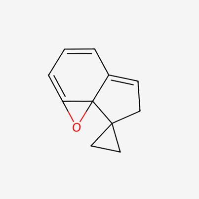 C1=CC2=CCC3(CC3)C23OC3=C1